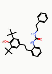 CC(C)(C)c1cc(CCc2ccccc2NC(=O)NCCc2ccccc2)cc(C(C)(C)C)c1O